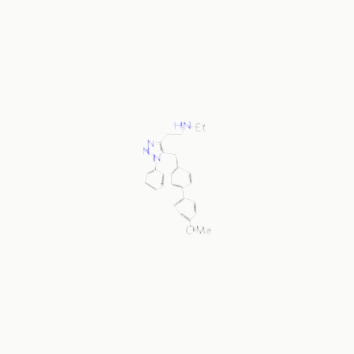 CCNCCc1nnn(-c2ccccc2)c1Cc1ccc(-c2ccc(OC)cc2)cc1